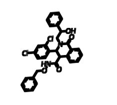 O=C(NOCc1ccccc1)C1c2ccccc2C(=O)N(CC(O)c2ccccc2)C1c1ccc(Cl)cc1Cl